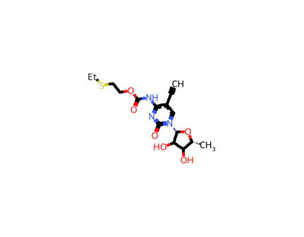 C#Cc1cn([C@@H]2O[C@H](C)C(O)C2O)c(=O)nc1NC(=O)OCCSCC